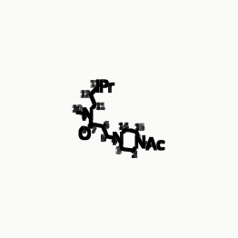 CC(=O)N1CCN(CCC(=O)N(C)CCC(C)C)CC1